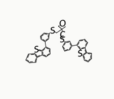 c1cc(SCC2(CSc3cccc(-c4cccc5c4sc4ccccc45)c3)COC2)cc(-c2cccc3c2sc2ccccc23)c1